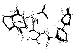 CC(C)C[C@H](NC(=O)[C@@H](NC(=O)c1cccc(-c2ccccc2)n1)[C@@H](C)O)B1OC(=O)[C@@H]2CCC[C@@H](C(=O)O1)N2C